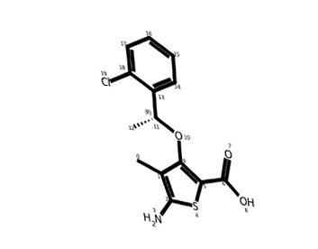 Cc1c(N)sc(C(=O)O)c1O[C@H](C)c1ccccc1Cl